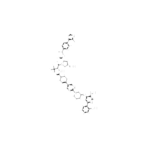 Cc1ncsc1-c1ccc([C@H](C)NC(=O)[C@@H]2C[C@@H](O)CN2C(=O)[C@@H](NC(=O)C2CC=C(c3cnc(N4CCCC(Oc5cc(-c6ccccc6O)nnc5N)C4)nc3)CC2)C(C)(C)C)cc1